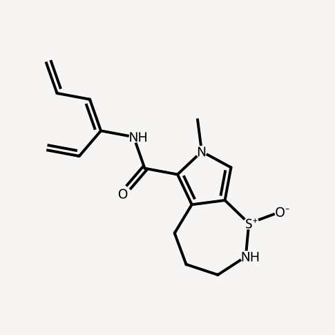 C=C/C=C(\C=C)NC(=O)c1c2c(cn1C)[S+]([O-])NCCC2